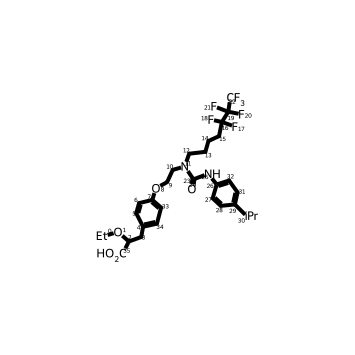 CCOC(Cc1ccc(OCCN(CCCCC(F)(F)C(F)(F)C(F)(F)F)C(=O)Nc2ccc(C(C)C)cc2)cc1)C(=O)O